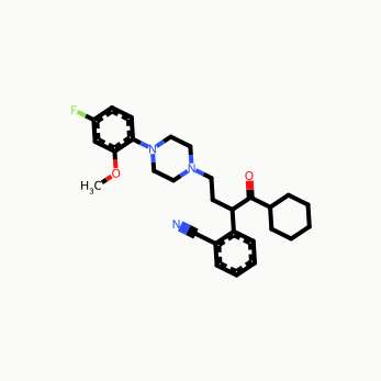 COc1cc(F)ccc1N1CCN(CCC(C(=O)C2CCCCC2)c2ccccc2C#N)CC1